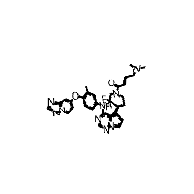 Cc1cc(Nc2ncnn3ccc(C4CCN(C(=O)C=CCN(C)C)CC4(F)F)c23)ccc1Oc1ccn2ncnc2c1